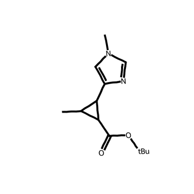 CC1C(C(=O)OC(C)(C)C)C1c1cn(C)cn1